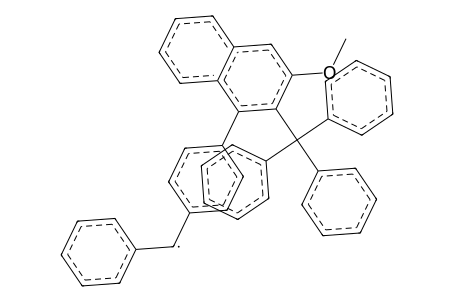 COc1cc2ccccc2c(-c2ccc([CH]c3ccccc3)cc2)c1C(c1ccccc1)(c1ccccc1)c1ccccc1